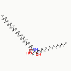 CCCCCCCCCCCCC/C=C/C(O)C(CO)NC(=O)CCCCCCCCCCCCCCCCCCCCCCC